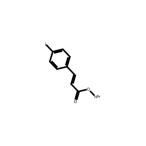 CCCOC(=O)C=Cc1ccc(I)cc1